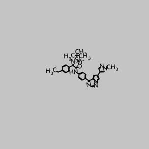 CCc1ccc(/C(=N/[S+]([O-])C(C)(C)C)C(=O)Nc2ccc(-c3ncnn4cc(-c5cnn(C)c5)cc34)cc2)cc1